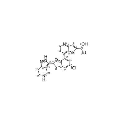 CCC(O)c1cc2nccc(-c3cc(Cl)cc4c3OC(c3[nH]nc5c3CNCC5)C4)c2s1